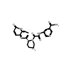 C=C(/N=C1/C=CC(=O)N/C1=C/C)[C@@H]1CC[C@@H](C)CN1C(=O)C(=O)Nc1cncc(C(N)=O)c1